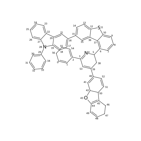 C1=CC(C2=NC(c3cccc4sc5ccc(-c6ccc7c(c6)c6ccccc6n7-c6ccccc6)cc5c34)CC(C3=CC4OC5=C(CCC=C5)C4C=C3)=C2)=CCC1